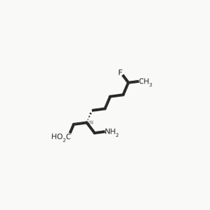 CC(F)CCCC[C@H](CN)CC(=O)O